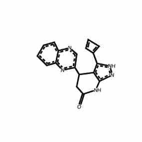 O=C1CC(c2cnc3ccccc3n2)c2c(n[nH]c2C2=CC=C2)N1